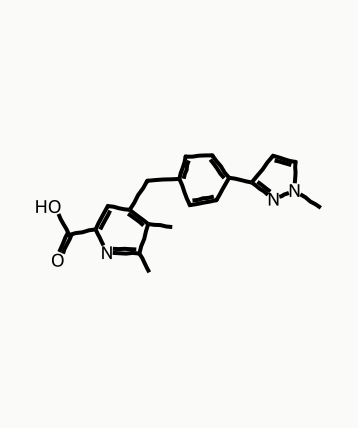 Cc1nc(C(=O)O)cc(Cc2ccc(-c3ccn(C)n3)cc2)c1C